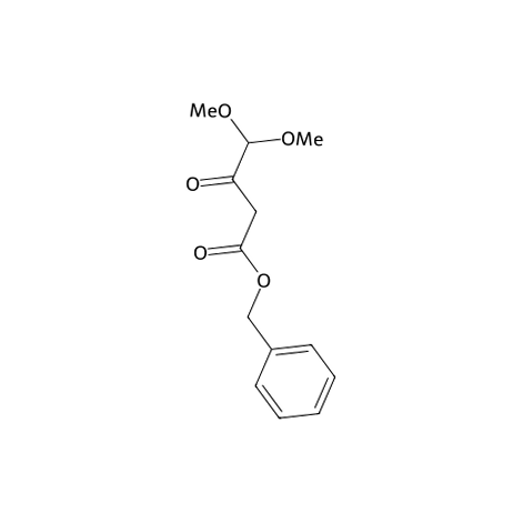 COC(OC)C(=O)CC(=O)OCc1ccccc1